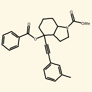 COC(=O)N1CCC2C1CCCC2(C#Cc1cccc(C)c1)OC(=O)c1ccccc1